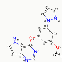 COc1cc(Oc2ncnc3cc[nH]c23)cc(-n2cccn2)c1